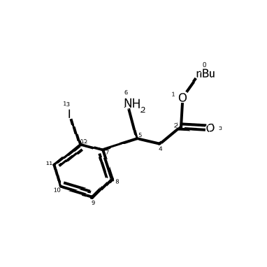 CCCCOC(=O)CC(N)c1ccccc1I